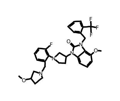 COc1cccc2c1n(Cc1ccccc1C(F)(F)F)c(=O)n2C1CCN(c2c(F)cccc2CN2CCC(OC)C2)C1